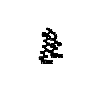 C=C(C)C(=O)OCCCCCCCCCCCCCCCCC.C=CC(=O)OCCCCCCCCCCCC